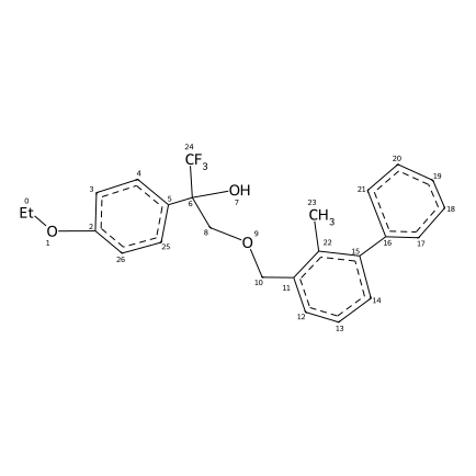 CCOc1ccc(C(O)(COCc2cccc(-c3ccccc3)c2C)C(F)(F)F)cc1